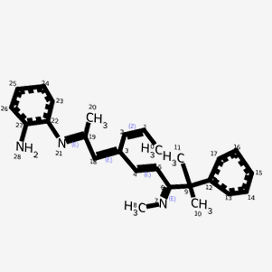 C\C=C/C(/C=C/C(=N\C)C(C)(C)c1ccccc1)=C\C(C)=N\c1ccccc1N